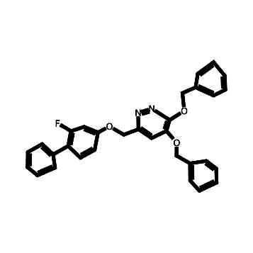 Fc1cc(OCc2cc(OCc3ccccc3)c(OCc3ccccc3)nn2)ccc1-c1ccccc1